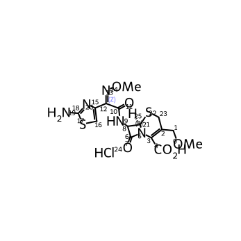 COCC1=C(C(=O)O)N2C(=O)C(NC(=O)/C(=N\OC)c3csc(N)n3)[C@H]2SC1.Cl